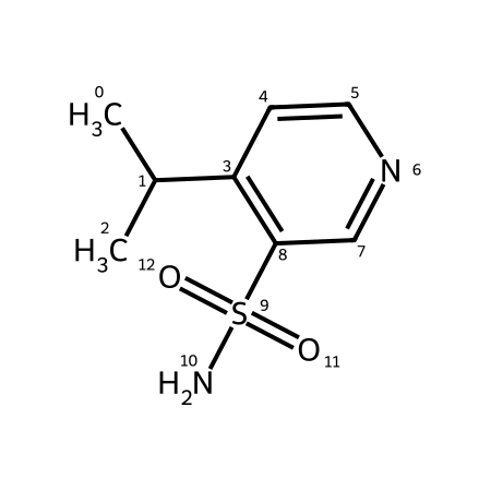 CC(C)c1ccncc1S(N)(=O)=O